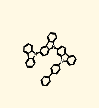 c1ccc(-c2ccc(-n3c4ccccc4c4ccc(-n5c6ccccc6c6cc(-n7c8ccccc8c8ccccc87)ccc65)cc43)cc2)cc1